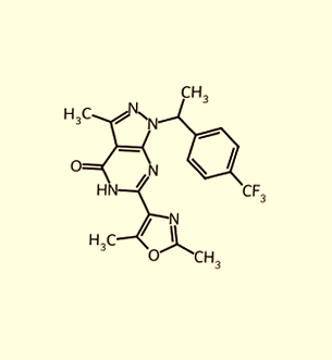 Cc1nc(-c2nc3c(c(C)nn3C(C)c3ccc(C(F)(F)F)cc3)c(=O)[nH]2)c(C)o1